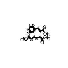 O=C(O)C=Cc1ccccc1.O=C(O)CCCCC(=O)O